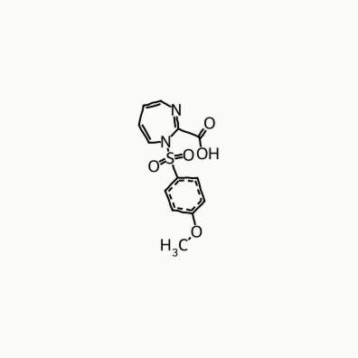 COc1ccc(S(=O)(=O)N2C=CC=CN=C2C(=O)O)cc1